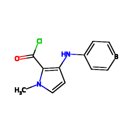 Cn1ccc(Nc2ccbcc2)c1C(=O)Cl